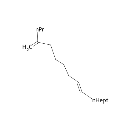 C=C(CCC)CCCCC=CCCCCCCC